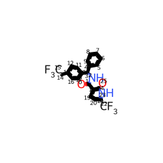 O=C(NC(c1ccccc1)c1ccc(CC(F)(F)F)cc1)c1ccc(C(F)(F)F)[nH]c1=O